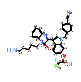 N#Cc1ccc(Cn2cc(-c3nc4ccccc4n(CCCCCN)c3=O)c3ccccc32)cc1.O=C(O)C(F)(F)F